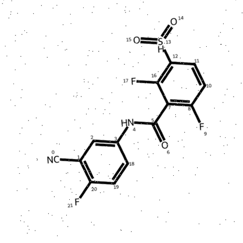 N#Cc1cc(NC(=O)c2c(F)ccc([SH](=O)=O)c2F)ccc1F